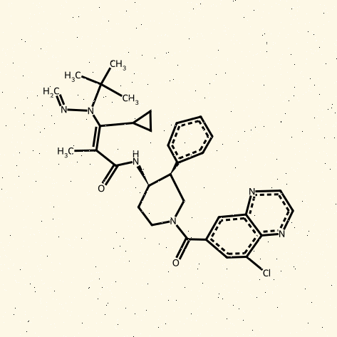 C=NN(/C(=C(\C)C(=O)N[C@@H]1CCN(C(=O)c2cc(Cl)c3nccnc3c2)C[C@@H]1c1ccccc1)C1CC1)C(C)(C)C